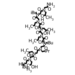 CCC(C)NCC(=O)N(CC(=O)N(CC(=O)N(CC(=O)N(CC(=O)N(CC(=O)N(CC(=O)N(CC(=O)N(CC(=O)N(CC(N)=O)CC(C)O)C(C)CC)CC(C)O)CC(C)O)CC(C)O)C(C)CC)CC(C)C)CC(C)O)CC(C)O